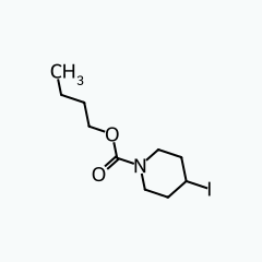 CCCCOC(=O)N1CCC(I)CC1